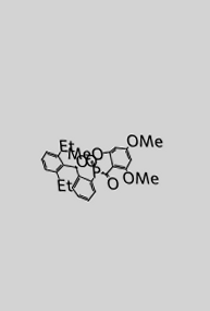 CCc1cccc(CC)c1C(=O)c1ccccc1[P](=O)C(=O)c1c(OC)cc(OC)cc1OC